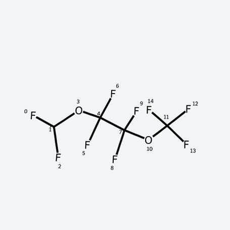 F[C](F)OC(F)(F)C(F)(F)OC(F)(F)F